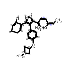 C=C(/C=C\C(O)=C/C)c1onc(C2=CCCC=C2Cl)c1-c1ccc(OC2CN(CCC)C2)cc1